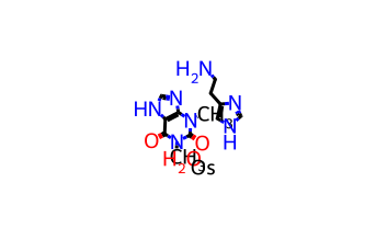 Cn1c(=O)c2[nH]cnc2n(C)c1=O.NCCc1c[nH]cn1.O.[Os]